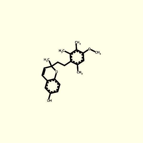 COc1cc(C)c(CCC2(C)C=Cc3cc(O)ccc3O2)c(C)c1C